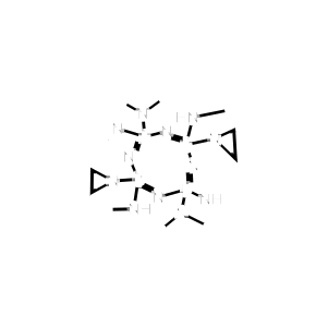 CNP1(N2CC2)=NP(N)(N(C)C)=NP(NC)(N2CC2)=NP(N)(N(C)C)=N1